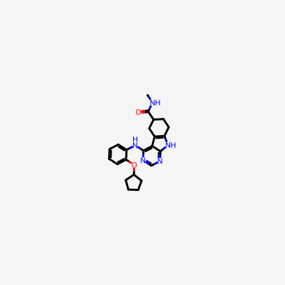 CNC(=O)C1CCc2[nH]c3ncnc(Nc4ccccc4OC4CCCC4)c3c2C1